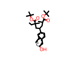 CCC(C)(CC(CC(C)C(=O)OC(C)(C)C)c1ccc2cc(O)ccc2c1)C(=O)OC(C)(C)C